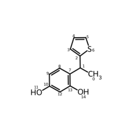 CC(c1cccs1)c1ccc(O)cc1O